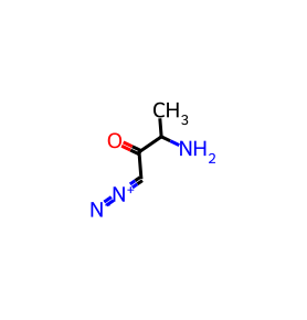 CC(N)C(=O)C=[N+]=[N-]